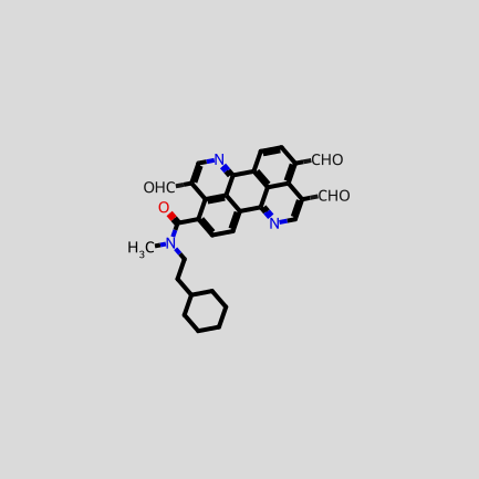 CN(CCC1CCCCC1)C(=O)c1ccc2c3ncc(C=O)c4c(C=O)ccc(c5ncc(C=O)c1c25)c43